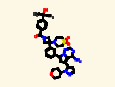 CC(C)(O)c1ccc(C(=O)N2CC(c3cccc(-c4cc(-c5ccnn5C5CCOCC5)c5c(N)ncnn45)c3)(N3CCS(=O)(=O)CC3)C2)cc1